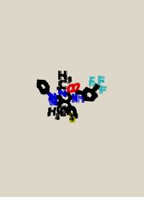 CCN1C(=O)C(NC(=O)c2cccc(C(F)(F)F)c2)C(c2ccsc2C)c2c(C)nn(-c3ccccc3)c21